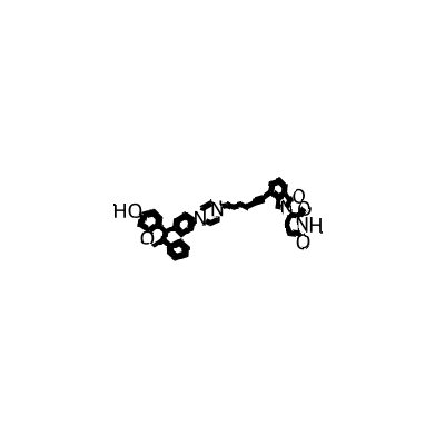 O=C1CCC(N2Cc3c(C#CCCCCN4CCN(c5ccc(C6c7ccc(O)cc7OCC6c6ccccc6)cc5)CC4)cccc3C2=O)C(=O)N1